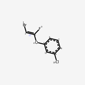 F/C(=C\Br)Oc1c[c]cc(Cl)c1